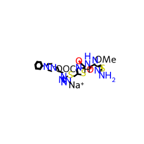 CON=C(C(=O)NC1C(=O)N2C(C(=O)[O-])=C(CSc3nnnn3CCCN3CCN(c4ccccc4)CC3)CS[C@@H]12)c1csc(N)n1.[Na+]